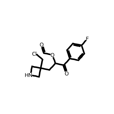 O=COC(CC1(CCl)CNC1)C(=O)c1ccc(F)cc1